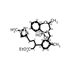 CCOC(=O)CC(CCc1cn(C)nn1)c1ccc(C)c(CN2CC(C)Oc3ccccc3S2(O)O)c1